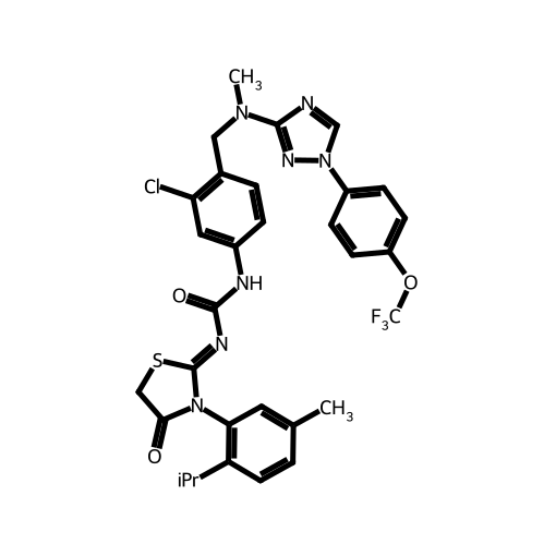 Cc1ccc(C(C)C)c(N2C(=O)CS/C2=N\C(=O)Nc2ccc(CN(C)c3ncn(-c4ccc(OC(F)(F)F)cc4)n3)c(Cl)c2)c1